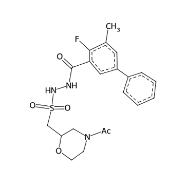 CC(=O)N1CCOC(CS(=O)(=O)NNC(=O)c2cc(-c3ccccc3)cc(C)c2F)C1